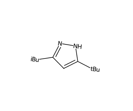 CCC(C)c1cc(C(C)(C)C)[nH]n1